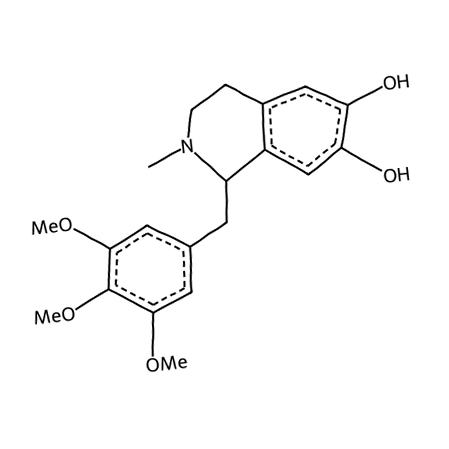 COc1cc(CC2c3cc(O)c(O)cc3CCN2C)cc(OC)c1OC